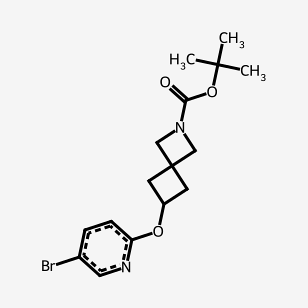 CC(C)(C)OC(=O)N1CC2(CC(Oc3ccc(Br)cn3)C2)C1